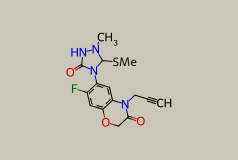 C#CCN1C(=O)COc2cc(F)c(N3C(=O)NN(C)C3SC)cc21